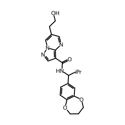 CC(C)C(NC(=O)c1cnn2cc(CCO)cnc12)c1ccc2c(c1)OCCCO2